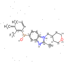 C=C/C(=C(\C=C/C)[S+]([O-])c1ccc2c(c1)nc(C(C)(C)C)n2CC1CCOCC1)C(F)(F)F